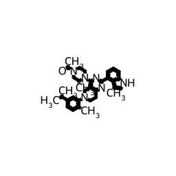 CC(=O)N1CCN(c2nc(-c3cccc4[nH]cc(C)c34)nc3c2CN(c2cc(C(C)C)ccc2C)CC3)[C@H](C)C1